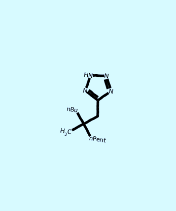 CCCCCC(C)(CCCC)Cc1nn[nH]n1